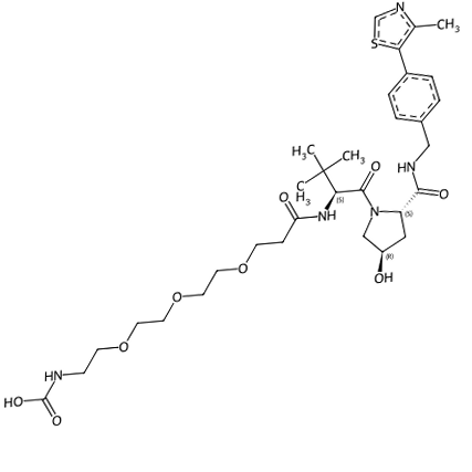 Cc1ncsc1-c1ccc(CNC(=O)[C@@H]2C[C@@H](O)CN2C(=O)[C@@H](NC(=O)CCOCCOCCOCCNC(=O)O)C(C)(C)C)cc1